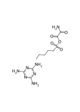 CCCCCS(=O)(=O)OC(=O)C(N)=O.Nc1nc(N)nc(N)n1